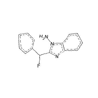 Nn1c(C(F)c2ccccc2)nc2ccccc21